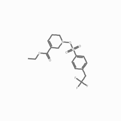 CCOC(=O)C1=CCCN(OS(=O)(=O)c2ccc(CC(F)(F)F)cc2)C1